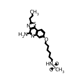 CCCc1nc2c(N)nc3cc(OCCCCCCNS(C)(=O)=O)ccc3c2s1